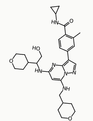 Cc1cc(-c2cnn3c(NCC4CCOCC4)cc(NC(CO)C4CCOCC4)nc23)ccc1C(=O)NC1CC1